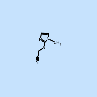 Cn1ccnc1SCC#N